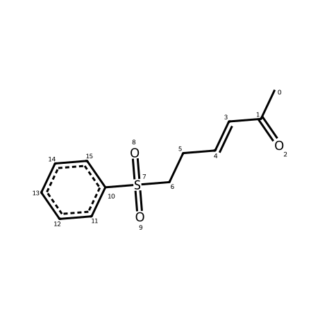 CC(=O)C=CCCS(=O)(=O)c1ccccc1